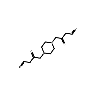 O=CCC(=O)CN1CCN(CC(=O)CC=O)CC1